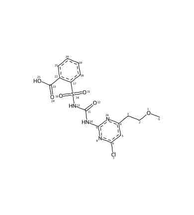 COCCc1cc(Cl)nc(NC(=O)NS(=O)(=O)c2ccccc2C(=O)O)n1